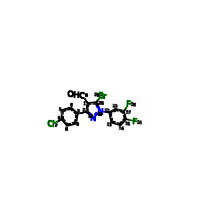 O=Cc1c(-c2ccc(Cl)cc2)nn(-c2ccc(F)c(F)c2)c1Br